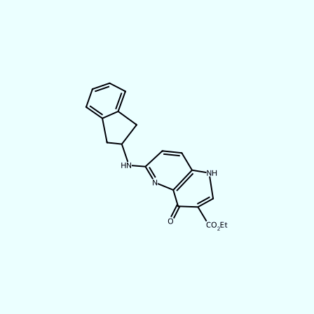 CCOC(=O)c1c[nH]c2ccc(NC3Cc4ccccc4C3)nc2c1=O